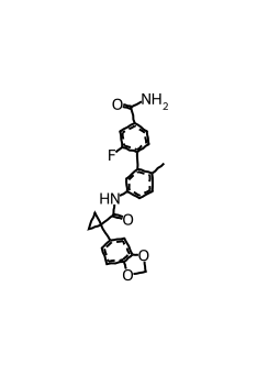 Cc1ccc(NC(=O)C2(c3ccc4c(c3)OCO4)CC2)cc1-c1ccc(C(N)=O)cc1F